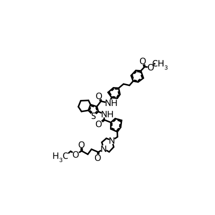 CCOC(=O)CCC(=O)N1CCN(Cc2cccc(C(=O)Nc3sc4c(c3C(=O)Nc3ccc(CCc5ccc(C(=O)OC)cc5)cc3)CCCC4)c2)CC1